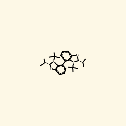 CC(C)[C@H]1Oc2cccc(-c3cccc4c3P(C(C)(C)C)[C@@H](C(C)C)O4)c2P1C(C)(C)C